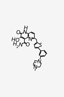 CN1CCN(c2cccc(-c3ccc(Cc4ccc5[nH]c(=O)c(O)c(C(N)=O)c5n4)s3)c2)CC1